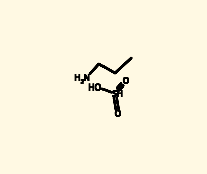 CCCN.O=[SH](=O)O